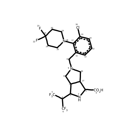 O=C(O)C1NC(C(C(F)(F)F)C(F)(F)F)C2CN(Cc3cccc(Cl)c3N3CCC(F)(F)CC3)CC12